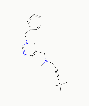 CC(C)(C)C#CCN1CCC2=C(CN(Cc3ccccc3)C=N2)C1